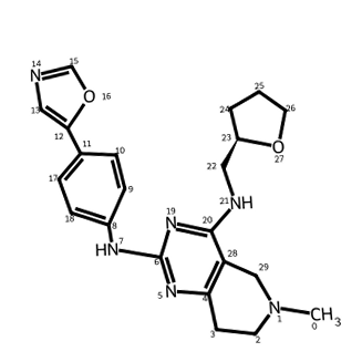 CN1CCc2nc(Nc3ccc(-c4cnco4)cc3)nc(NC[C@H]3CCCO3)c2C1